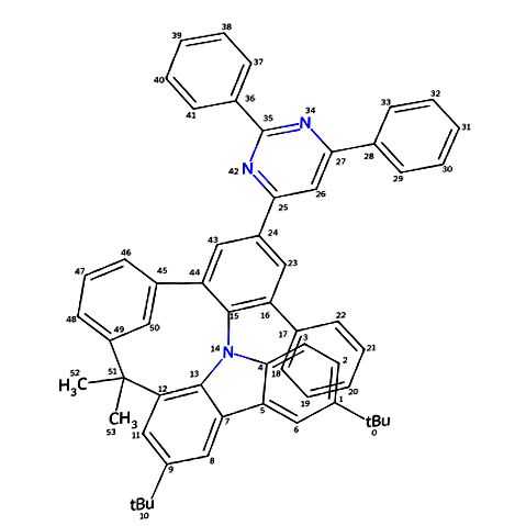 CC(C)(C)c1ccc2c(c1)c1cc(C(C)(C)C)cc3c1n2-c1c(-c2ccccc2)cc(-c2cc(-c4ccccc4)nc(-c4ccccc4)n2)cc1-c1cccc(c1)C3(C)C